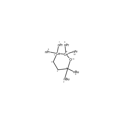 CCCCC1(CCCC)C[CH2][Ge]([CH2]CC)([CH2]CC)[Ge]([CH2]CC)([CH2]CC)[O]1